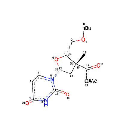 CCCCOC[C@H]1O[C@@H](n2ccc(=O)[nH]c2=O)C[C@@]1(C)C(=O)OC